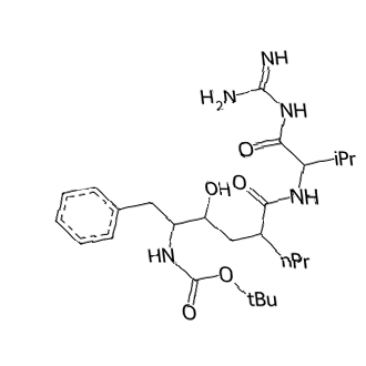 CCCC(CC(O)C(Cc1ccccc1)NC(=O)OC(C)(C)C)C(=O)NC(C(=O)NC(=N)N)C(C)C